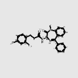 CN1C(=O)[C@H](NC(=O)CCc2ccc(F)cc2F)N=C(c2ccccc2)c2ccccc21